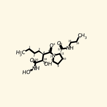 CCCC[C@@H](C(=O)N1CCC[C@H]1C(=O)NCCC)[C@H](O)C(=O)NO